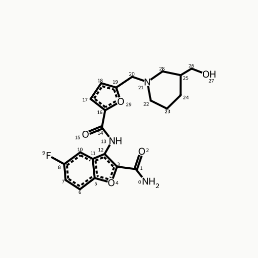 NC(=O)c1oc2ccc(F)cc2c1NC(=O)c1ccc(CN2CCCC(CO)C2)o1